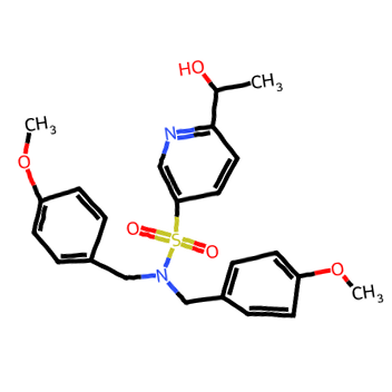 COc1ccc(CN(Cc2ccc(OC)cc2)S(=O)(=O)c2ccc(C(C)O)nc2)cc1